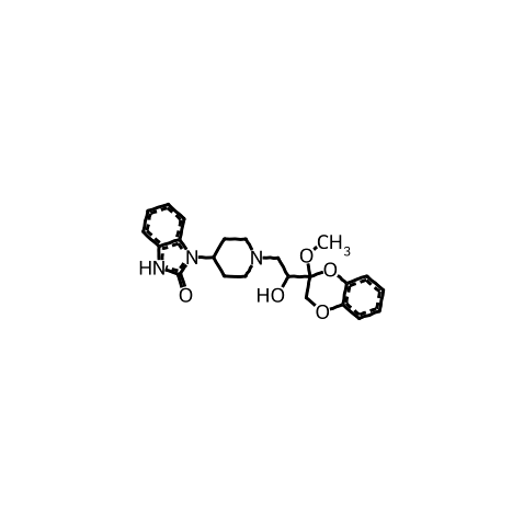 COC1(C(O)CN2CCC(n3c(=O)[nH]c4ccccc43)CC2)COc2ccccc2O1